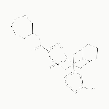 C=CCN1CC2CCCC(C1)N2C(c1ccc(C(=O)NC2CCCCCC2)cc1)c1cccc(OC)c1